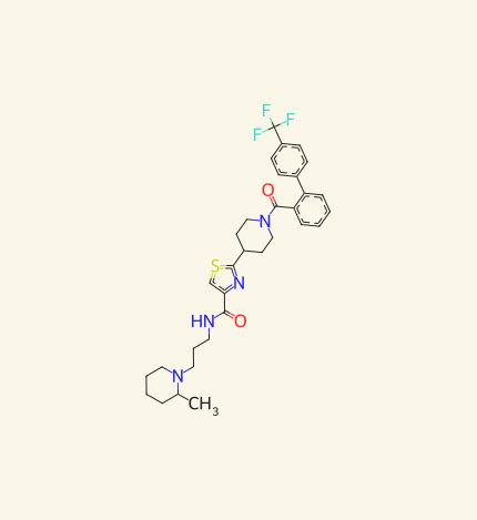 CC1CCCCN1CCCNC(=O)c1csc(C2CCN(C(=O)c3ccccc3-c3ccc(C(F)(F)F)cc3)CC2)n1